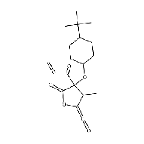 C=CC(=O)C1(OC2CCC(C(C)(C)C)CC2)C(=O)OC(=C=O)C1C